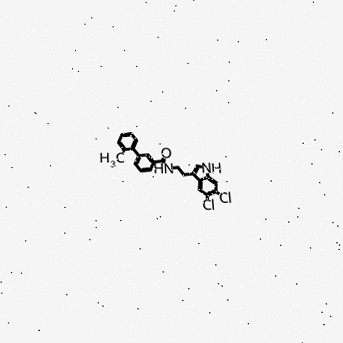 Cc1ccccc1-c1cccc(C(=O)NCCc2c[nH]c3cc(Cl)c(Cl)cc23)c1